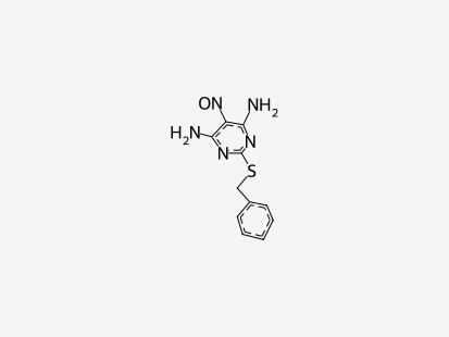 Nc1nc(SCc2ccccc2)nc(N)c1N=O